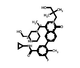 Cc1c(F)cc(C(=O)NC2CC2)cc1-c1ccc2c(=O)n(CC(C)(C)CO)cc([C@H](C)N3CCN[C@@H](CO)C3)c2c1